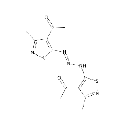 CC(=O)c1c(C)nsc1N=NNc1snc(C)c1C(C)=O